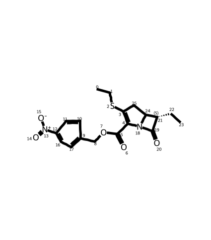 CCSC1=C(C(=O)OCc2ccc([N+](=O)[O-])cc2)N2C(=O)[C@@H](CC)C2C1